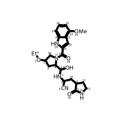 CCOC1CC(C(O)NC(C#N)CC2CCNC2=O)N(C(=O)c2cc3c(OC)cccc3[nH]2)C1